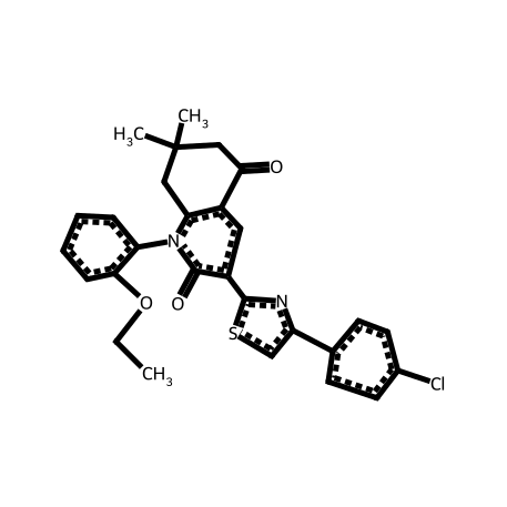 CCOc1ccccc1-n1c2c(cc(-c3nc(-c4ccc(Cl)cc4)cs3)c1=O)C(=O)CC(C)(C)C2